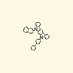 c1ccc(-c2ccc(-n3c4ccccc4c4cc5c6ccccc6n(-c6ccc7ccccc7c6)c5cc43)cc2)cc1